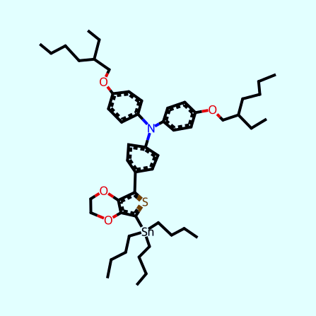 CCCCC(CC)COc1ccc(N(c2ccc(OCC(CC)CCCC)cc2)c2ccc(-c3s[c]([Sn]([CH2]CCC)([CH2]CCC)[CH2]CCC)c4c3OCCO4)cc2)cc1